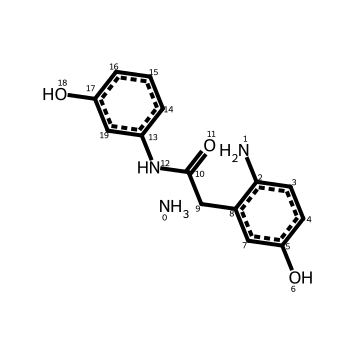 N.Nc1ccc(O)cc1CC(=O)Nc1cccc(O)c1